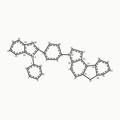 c1ccc(-n2c(-c3ccc(-n4ccc5c6c(ccc54)Cc4ccccc4-6)cc3)nc3ccccc32)cc1